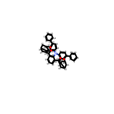 c1ccc(-c2ccc(N(c3ccc(-c4ccccc4)cc3)c3c(C4C5CC6CC(C5)CC4C6)cccc3C3C4CC5CC(C4)CC3C5)cc2)cc1